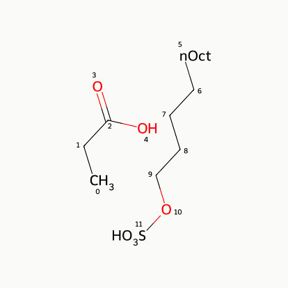 CCC(=O)O.CCCCCCCCCCCCOS(=O)(=O)O